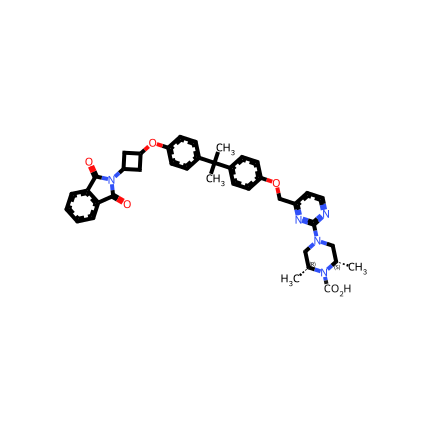 C[C@@H]1CN(c2nccc(COc3ccc(C(C)(C)c4ccc(OC5CC(N6C(=O)c7ccccc7C6=O)C5)cc4)cc3)n2)C[C@H](C)N1C(=O)O